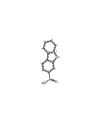 O=S(O)c1ccc2c(c1)oc1ccccc12